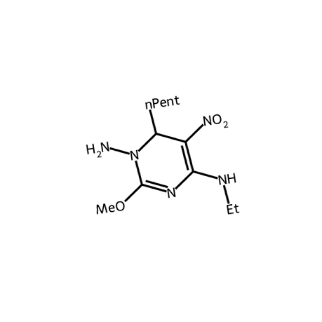 CCCCCC1C([N+](=O)[O-])=C(NCC)N=C(OC)N1N